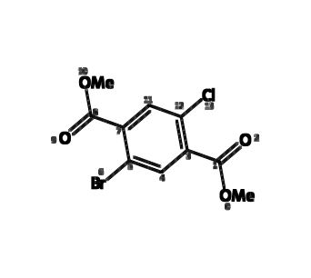 COC(=O)c1cc(Br)c(C(=O)OC)cc1Cl